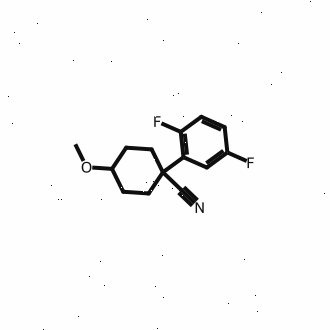 COC1CCC(C#N)(c2cc(F)ccc2F)CC1